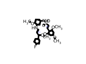 COc1cc(OC)c(/C=C/S(=O)(=O)Nc2ccc(OC)c(N/C=C/C(=O)c3ccc(F)cc3)c2)c(OC)c1